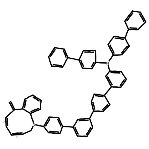 C=C1/C=C\C=C/CN(c2ccc(-c3cccc(-c4ccc(-c5cccc(N(c6ccc(-c7ccccc7)cc6)c6ccc(-c7ccccc7)cc6)c5)cc4)c3)cc2)c2ccccc21